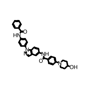 O=C(Nc1ccc(-n2ncc3cc(NC(=O)c4ccc(N5CCC(O)CC5)cc4)ccc32)cc1)c1ccccc1